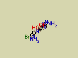 Nc1nc2cc(N3CC[C@@]4(C[C@@H](n5ccc6c(N)ncnc65)[C@H](O)[C@@H]4O)C3)ccc2cc1Br